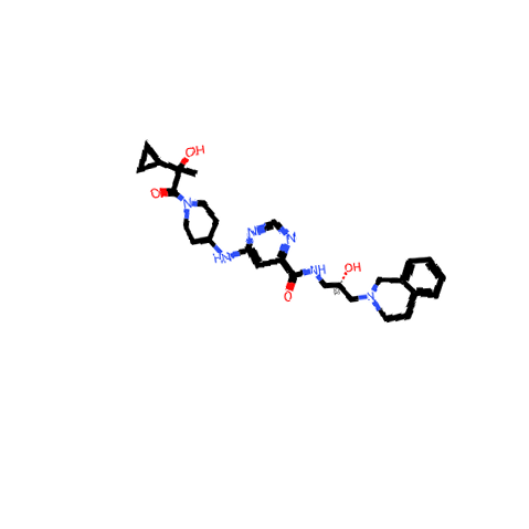 CC(O)(C(=O)N1CCC(Nc2cc(C(=O)NC[C@H](O)CN3CCc4ccccc4C3)ncn2)CC1)C1CC1